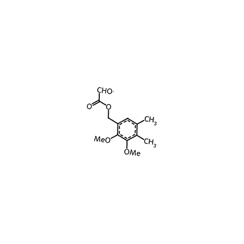 COc1c(COC(=O)[C]=O)cc(C)c(C)c1OC